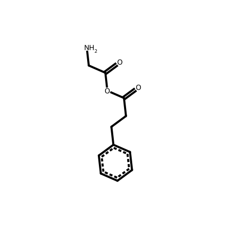 NCC(=O)OC(=O)CCc1ccccc1